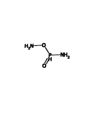 NO[PH](N)=O